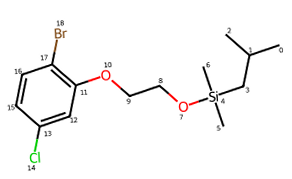 CC(C)C[Si](C)(C)OCCOc1cc(Cl)ccc1Br